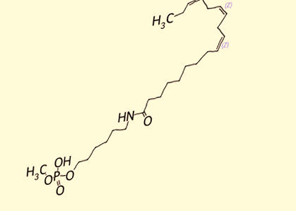 CC/C=C\C/C=C\C/C=C\CCCCCCCC(=O)NCCCCCCOP(=O)(O)OC